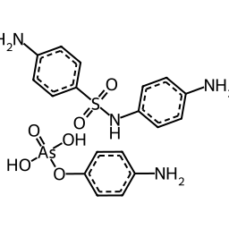 Nc1ccc(NS(=O)(=O)c2ccc(N)cc2)cc1.Nc1ccc(O[As](=O)(O)O)cc1